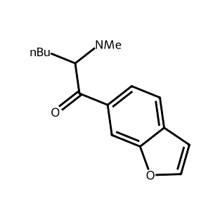 CCCCC(NC)C(=O)c1ccc2ccoc2c1